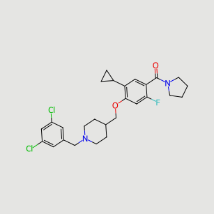 O=C(c1cc(C2CC2)c(OCC2CCN(Cc3cc(Cl)cc(Cl)c3)CC2)cc1F)N1CCCC1